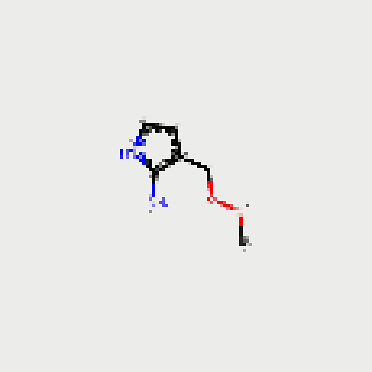 CCOOCc1cc[nH]c1N